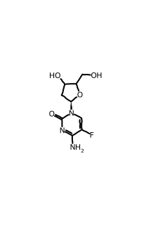 Nc1nc(=O)n([C@H]2CC(O)C(CO)O2)cc1F